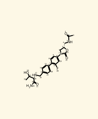 CC(=O)NC[C@H]1CN(c2ccc(-c3ccc(CN[C@H](C(N)=O)C(C)O)cc3)c(F)c2)C(=O)O1